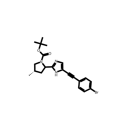 C[C@H]1CC(c2ncc(C#Cc3ccc(Br)cc3)[nH]2)N(C(=O)OC(C)(C)C)C1